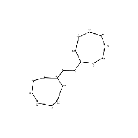 C1CCCC(CCC2CCCCCCC2)CCC1